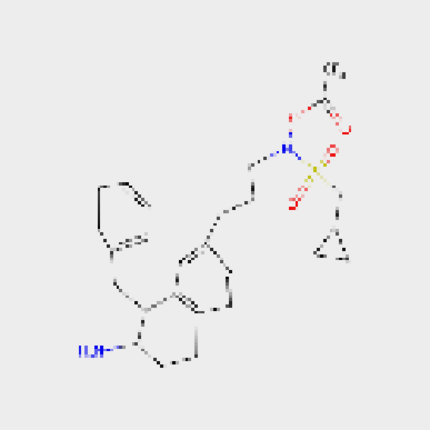 NC1CCc2ccc(CCCN(OC(=O)C(F)(F)F)S(=O)(=O)CC3CC3)cc2C1Cc1ccccc1